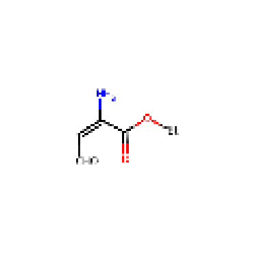 CCOC(=O)/C(N)=C\C=O